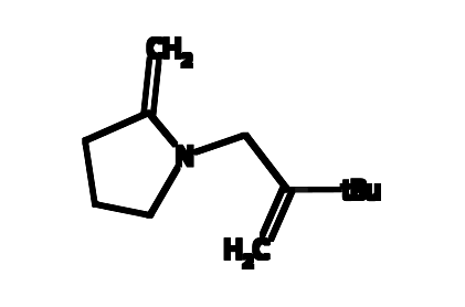 C=C1CCCN1CC(=C)C(C)(C)C